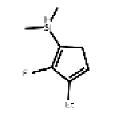 CCC1=[C]CC([SiH](C)C)=C1CC